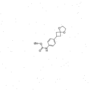 CC(C)(C)OC(=O)Nc1ccc(C2CC3(C2)OCCO3)cc1